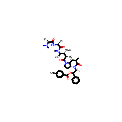 CCC(C)C([C@@H](CC(=O)N1CCCC1[C@H](OC)C(C)C(=O)N[C@H](C)C(OC(=O)c1ccc(C(C)=O)cc1)c1ccccc1)OC)N(C)C(=O)[C@@H](NC(=O)[C@H](C(C)C)N(C)C)C(C)C